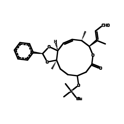 CC(=CC=O)[C@H]1OC(=O)CC(O[Si](C)(C)C(C)(C)C)CC[C@@]2(C)O[C@@H](c3ccccc3)O[C@H]2C=C[C@@H]1C